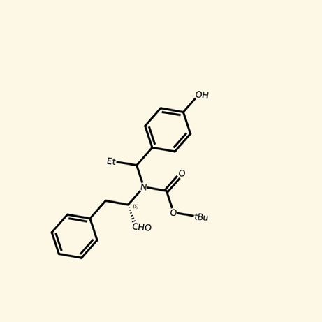 [CH2]CC(c1ccc(O)cc1)N(C(=O)OC(C)(C)C)[C@H](C=O)Cc1ccccc1